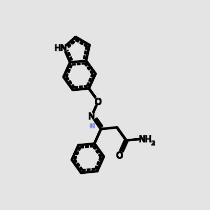 NC(=O)C/C(=N\Oc1ccc2[nH]ccc2c1)c1ccccc1